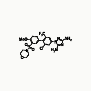 COc1ccc(-c2c(Cl)cc(-n3nc(N)nc3N)cc2C(F)(F)F)cc1S(=O)(=O)N1CCOCC1